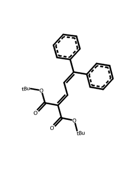 CC(C)(C)OC(=O)C(=CC=C(c1ccccc1)c1ccccc1)C(=O)OC(C)(C)C